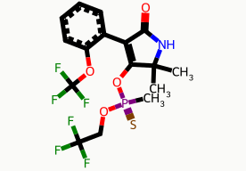 CC1(C)NC(=O)C(c2ccccc2OC(F)(F)F)=C1OP(C)(=S)OCC(F)(F)F